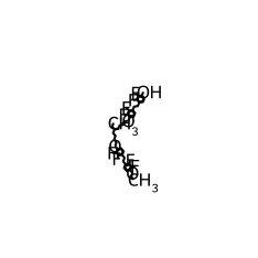 CCOc1ccc(CCc2ccc(OCCCCC(CC)CCCCOc3ccc(CCc4ccc(O)c(F)c4F)c(F)c3F)c(F)c2F)c(F)c1F